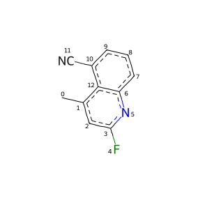 Cc1cc(F)nc2cccc(C#N)c12